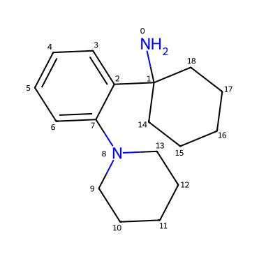 NC1(c2ccccc2N2CCCCC2)CCCCC1